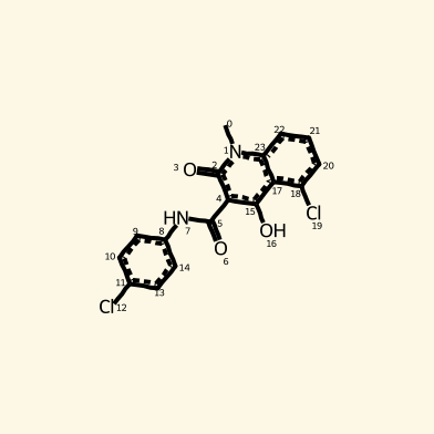 Cn1c(=O)c(C(=O)Nc2ccc(Cl)cc2)c(O)c2c(Cl)cccc21